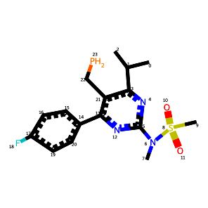 CC(C)c1nc(N(C)S(C)(=O)=O)nc(-c2ccc(F)cc2)c1CP